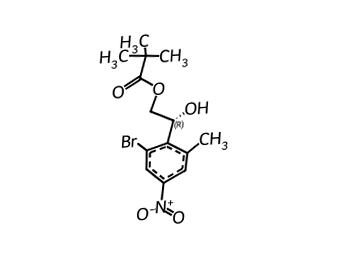 Cc1cc([N+](=O)[O-])cc(Br)c1[C@@H](O)COC(=O)C(C)(C)C